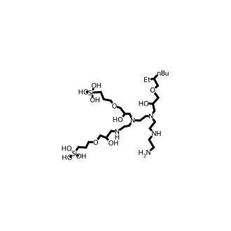 CCCCC(CC)COCC(O)CN(CCNCCN)CCN(CCNCC(O)COCCC[Si](O)(O)O)CC(O)COCCC[Si](O)(O)O